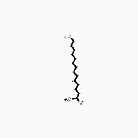 CCCCCCCCCCCCCCCCCCCCCCCC(CCC)C(=O)O